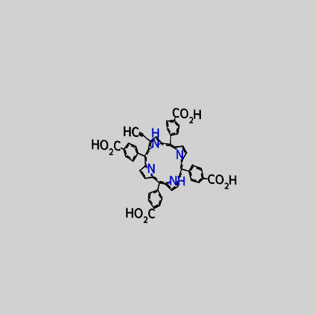 C#Cc1cc2[nH]c1c(-c1ccc(C(=O)O)cc1)c1nc(c(-c3ccc(C(=O)O)cc3)c3ccc([nH]3)c(-c3ccc(C(=O)O)cc3)c3nc(c2-c2ccc(C(=O)O)cc2)C=C3)C=C1